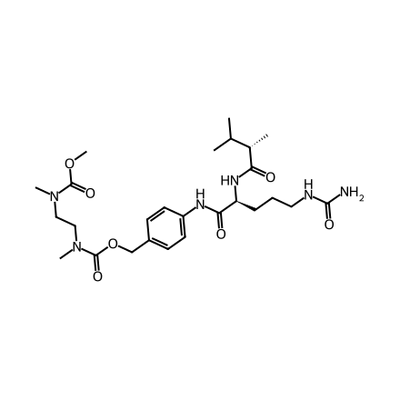 COC(=O)N(C)CCN(C)C(=O)OCc1ccc(NC(=O)[C@H](CCCNC(N)=O)NC(=O)[C@@H](C)C(C)C)cc1